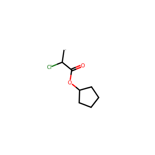 [CH2]C(Cl)C(=O)OC1CCCC1